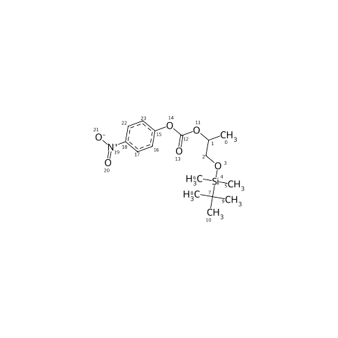 CC(CO[Si](C)(C)C(C)(C)C)OC(=O)Oc1ccc([N+](=O)[O-])cc1